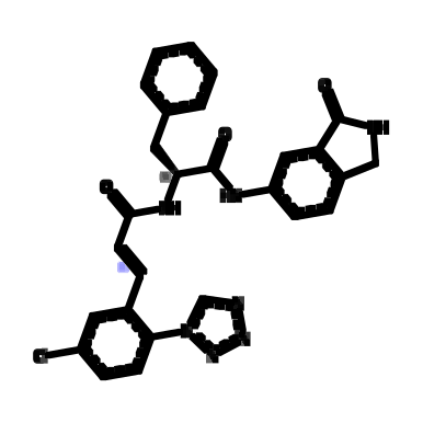 O=C(/C=C/c1cc(Cl)ccc1-n1cnnn1)N[C@@H](Cc1ccccc1)C(=O)Nc1ccc2c(c1)C(=O)NC2